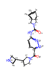 O=C(Nc1ccc(C(=O)N2CCC(C3CNC3)C2)nn1)N1Cc2ccccc2C1